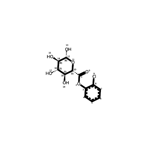 O=C(Oc1ccccc1Cl)[C@H]1O[C@@H](O)[C@H](O)[C@@H](O)[C@@H]1O